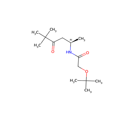 C[C@H](CC(=O)C(C)(C)C)NC(=O)COC(C)(C)C